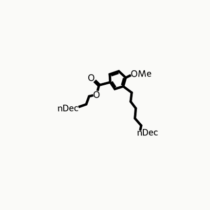 CCCCCCCCCCCCCCCc1cc(C(=O)OCCCCCCCCCCCC)ccc1OC